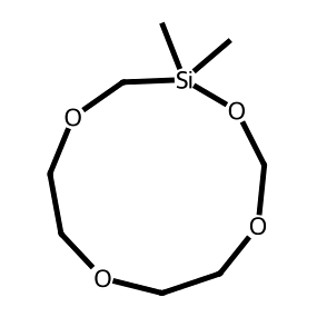 C[Si]1(C)COCCOCCOCO1